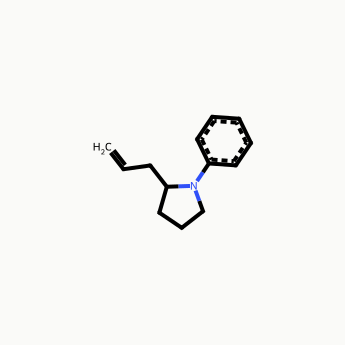 C=CCC1CCCN1c1ccccc1